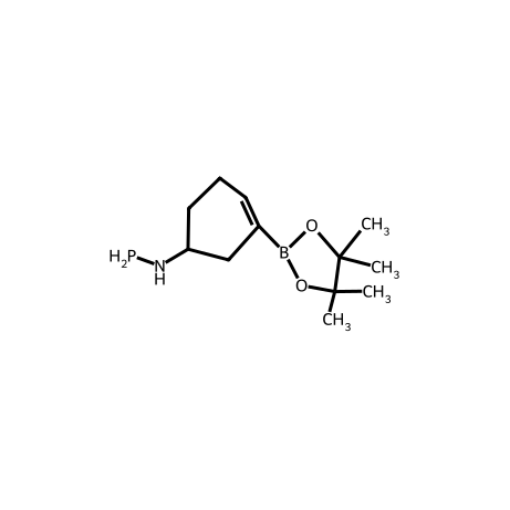 CC1(C)OB(C2=CCCC(NP)C2)OC1(C)C